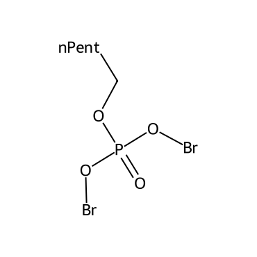 CCCCCCOP(=O)(OBr)OBr